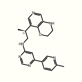 Cc1ccc(-c2cc(NC[C@@H](C)c3cncc4c3OCCN4)ncn2)cn1